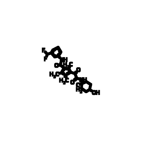 Cc1c(C(=O)Nc2cccc(C(F)F)c2)c(C)n(C)c1C(=O)C(=O)NC1(C)CCC(O)CC1